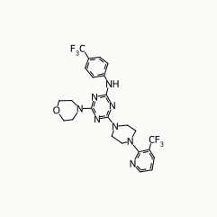 FC(F)(F)c1ccc(Nc2nc(N3CCOCC3)nc(N3CCN(c4ncccc4C(F)(F)F)CC3)n2)cc1